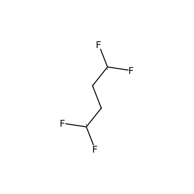 F[C](F)CC[C](F)F